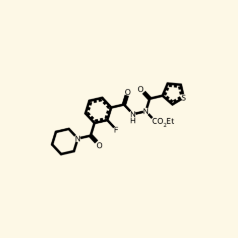 CCOC(=O)N(NC(=O)c1cccc(C(=O)N2CCCCC2)c1F)C(=O)c1ccsc1